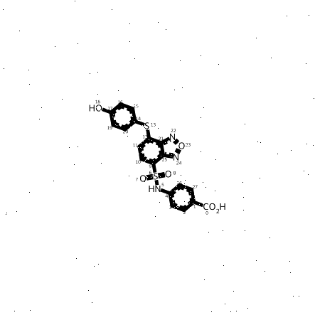 O=C(O)c1ccc(NS(=O)(=O)c2ccc(Sc3ccc(O)cc3)c3nonc23)cc1